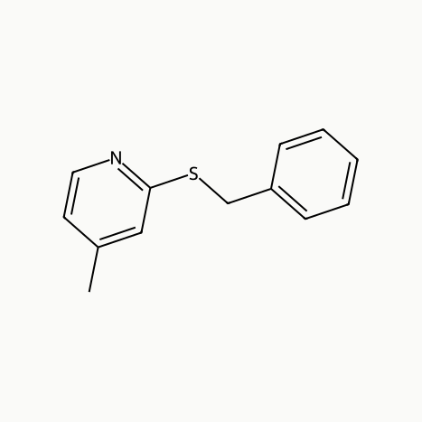 Cc1ccnc(SCc2ccccc2)c1